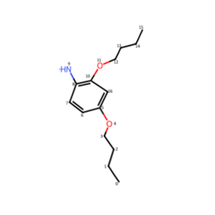 CCCCOc1ccc([NH])c(OCCCC)c1